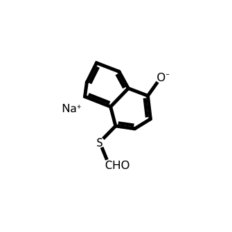 O=CSc1ccc([O-])c2ccccc12.[Na+]